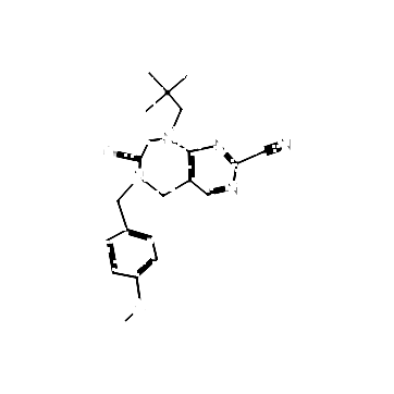 COc1ccc(CN2Cc3cnc(C#N)nc3N(CC(C)(C)C)CC2=O)cc1